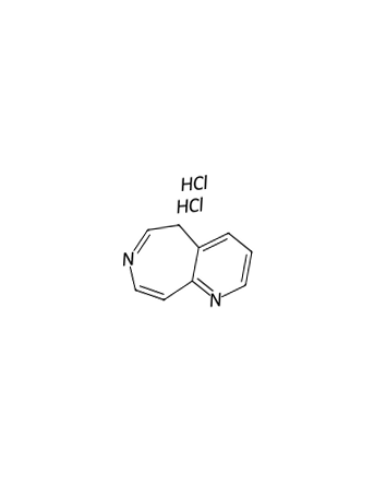 C1=Cc2ncccc2CC=N1.Cl.Cl